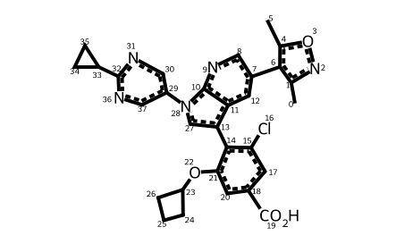 Cc1noc(C)c1-c1cnc2c(c1)c(-c1c(Cl)cc(C(=O)O)cc1OC1CCC1)cn2-c1cnc(C2CC2)nc1